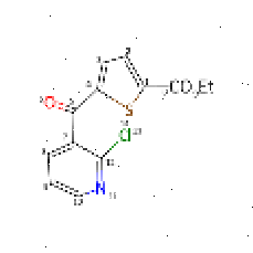 CCOC(=O)c1ccc(C(=O)c2cccnc2Cl)s1